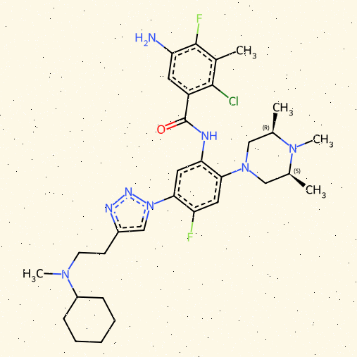 Cc1c(F)c(N)cc(C(=O)Nc2cc(-n3cc(CCN(C)C4CCCCC4)nn3)c(F)cc2N2C[C@@H](C)N(C)[C@@H](C)C2)c1Cl